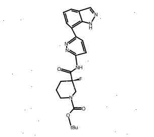 CC(C)(C)OC(=O)N1CCC[C@](F)(C(=O)Nc2ccc(-c3cccc4cn[nH]c34)nn2)C1